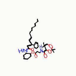 CCCCCCCCCC(=CC(=O)N[C@H]1CCCC[C@@H]1OC(=O)CCNC(=O)C1OC(C)(C)OCC1(C)C)c1ccccc1